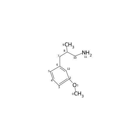 COc1cccc(CC(C)CN)c1